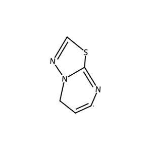 [C]1=CCN2N=CSC2=N1